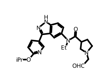 CCN(C(=O)C1CCN(CC=O)C1)c1ccc2[nH]nc(-c3ccc(OC(C)C)nc3)c2c1